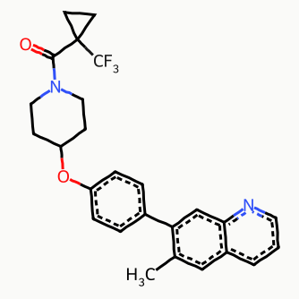 Cc1cc2cccnc2cc1-c1ccc(OC2CCN(C(=O)C3(C(F)(F)F)CC3)CC2)cc1